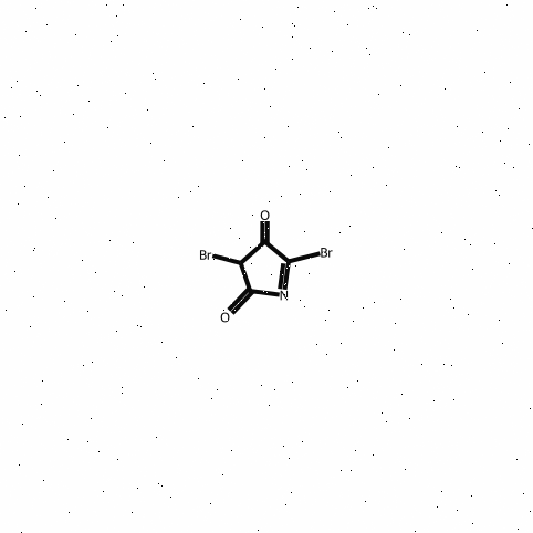 O=C1N=C(Br)C(=O)C1Br